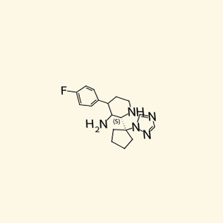 NC1C(c2ccc(F)cc2)CCN[C@@H]1C1(n2cncn2)CCCC1